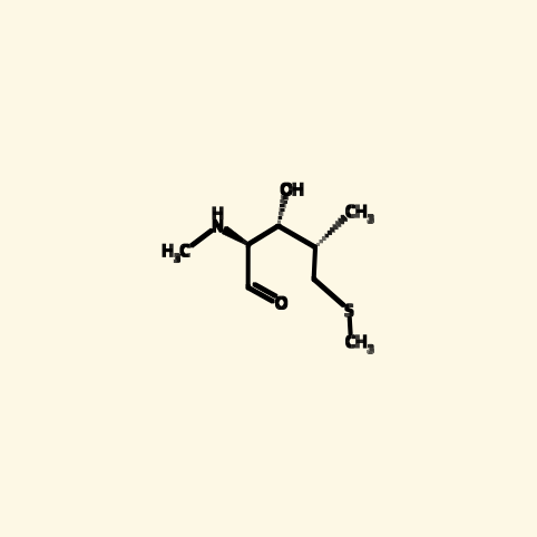 CN[C@H](C=O)[C@H](O)[C@H](C)CSC